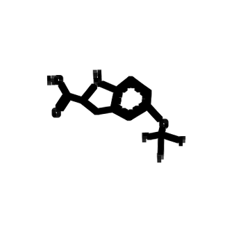 O=C(O)C1Cc2cc(OC(F)(F)F)ccc2N1